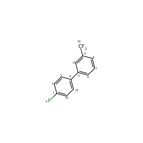 Fc1ccc(-c2cccc(C(F)(F)F)c2)cc1